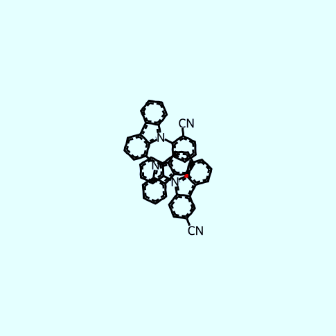 N#Cc1ccc2c(c1)c1ccccc1n2-c1ccccc1-c1cccc(C#N)c1-n1c2ccccc2c2cccc(-n3c4ccccc4c4ccccc43)c21